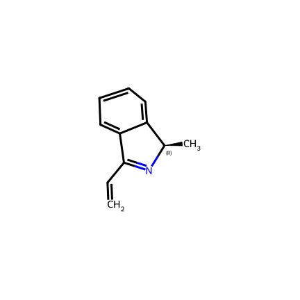 C=CC1=N[C@H](C)c2ccccc21